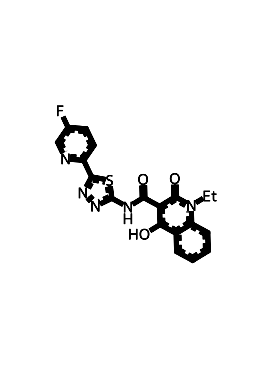 CCn1c(=O)c(C(=O)Nc2nnc(-c3ccc(F)cn3)s2)c(O)c2ccccc21